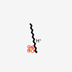 C=C(CCCCCCCCCCCC)OS(=O)(=O)[O-].[H+]